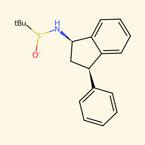 CC(C)(C)[S+]([O-])N[C@@H]1C[C@H](c2ccccc2)c2ccccc21